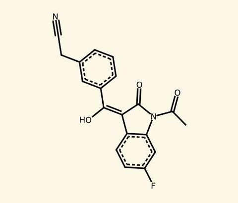 CC(=O)N1C(=O)C(=C(O)c2cccc(CC#N)c2)c2ccc(F)cc21